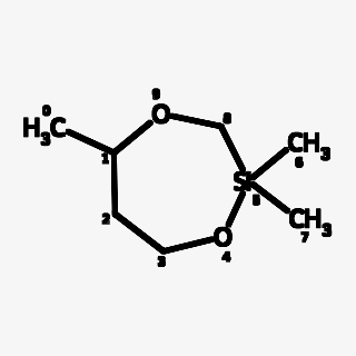 CC1CCO[Si](C)(C)CO1